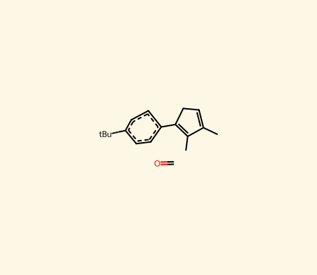 C=O.CC1=CCC(c2ccc(C(C)(C)C)cc2)=C1C